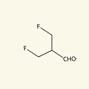 O=[C]C(CF)CF